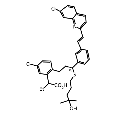 CCC(C(=O)O)c1cc(Cl)ccc1CC[C@H](SCCCC(C)(C)O)c1cccc(C=Cc2ccc3ccc(Cl)cc3n2)c1